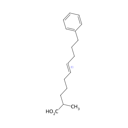 CC(CCC/C=C/CCCc1ccccc1)C(=O)O